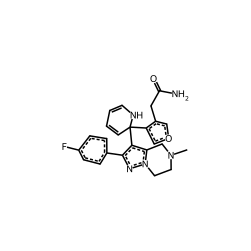 CN1CCn2nc(-c3ccc(F)cc3)c(C3(c4cocc4CC(N)=O)C=CC=CN3)c2C1